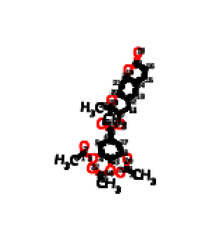 CC(=O)Oc1cc(C(=O)OC2Cc3cc4ccc(=O)oc4cc3OC2(C)C)cc(OC(C)=O)c1OC(C)=O